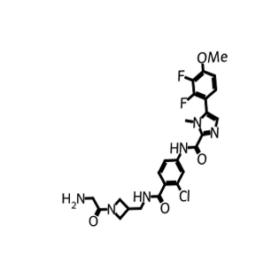 COc1ccc(-c2cnc(C(=O)Nc3ccc(C(=O)NCC4CN(C(=O)CN)C4)c(Cl)c3)n2C)c(F)c1F